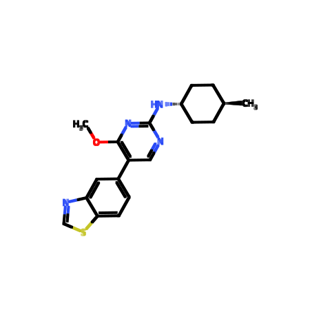 COc1nc(N[C@H]2CC[C@H](C)CC2)ncc1-c1ccc2scnc2c1